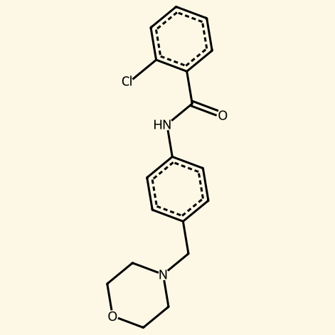 O=C(Nc1ccc(CN2CCOCC2)cc1)c1ccccc1Cl